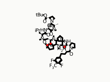 CC[C@H](C)[C@H](NC(=O)[C@H](CC(C)C)N(C)C(=O)C[C@@H](C(=O)N(C)C)N(C)C(=O)[C@H](C1CCCC1)N(C)C(=O)C1(NC(=O)[C@@H]2CCCN2C(=O)[C@@H](N)CCc2cc(F)c(C(F)(F)F)c(F)c2)CCCC1)C(=O)N(C)[C@@H](C)C(=O)N1CC[C@H]1C(=O)OC(C)(C)C